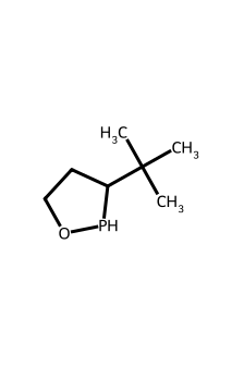 CC(C)(C)C1CCOP1